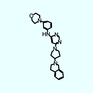 c1cc(Nc2cc(N3CCC(N4CCc5ccccc5C4)CC3)ncn2)cc(N2CCOCC2)c1